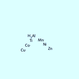 [AlH3].[Co].[Cu].[Mn].[Ni].[Ti].[Zn]